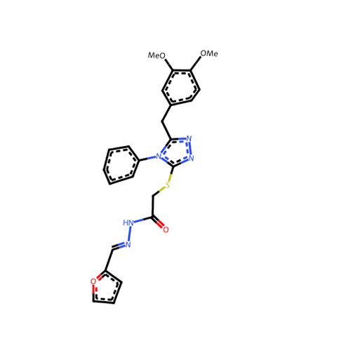 COc1ccc(Cc2nnc(SCC(=O)N/N=C/c3ccco3)n2-c2ccccc2)cc1OC